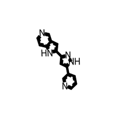 c1cncc(-c2cc(-c3cc4cnccc4[nH]3)n[nH]2)c1